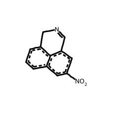 O=[N+]([O-])c1cc2c3c(cccc3c1)CN=C2